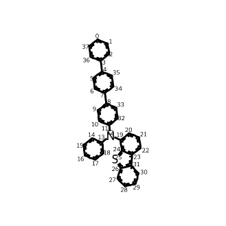 c1ccc(-c2ccc(-c3ccc(N(c4ccccc4)c4cccc5c4sc4ccccc45)cc3)cc2)cc1